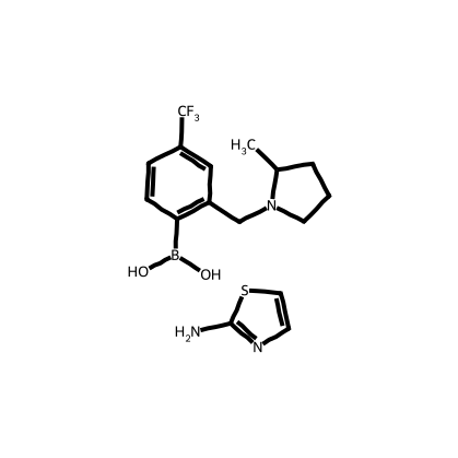 CC1CCCN1Cc1cc(C(F)(F)F)ccc1B(O)O.Nc1nccs1